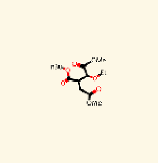 CCCCOC(=O)C(CC(=O)OC)C(OCC)C(=O)OC